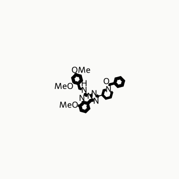 COc1ccc(CNc2nc3c(OC)cccc3c3nc([C@@H]4CCCN(C(=O)c5ccccc5)C4)nn23)c(OC)c1